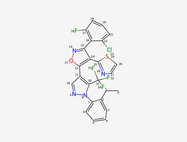 CCc1ccccc1-n1ncc(-c2onc(-c3c(F)cccc3Cl)c2-c2nccs2)c1C(F)(F)F